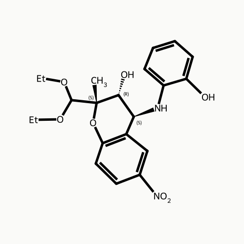 CCOC(OCC)[C@@]1(C)Oc2ccc([N+](=O)[O-])cc2[C@H](Nc2ccccc2O)[C@H]1O